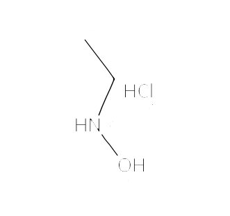 CCNO.Cl